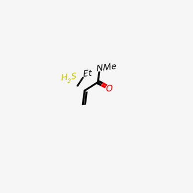 C=CC(=O)NC.CCC.S